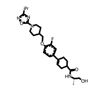 CC(C)c1noc(N2CCC(COc3ccc(C4=CCC(C(=O)N[C@@H](C)CO)CC4)cc3F)CC2)n1